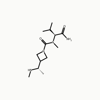 CN[C@@H](C)C1CN(C(=O)N(C)[C@H](C(N)=O)C(C)C)C1